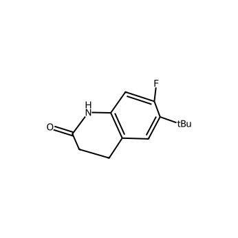 CC(C)(C)c1cc2c(cc1F)NC(=O)CC2